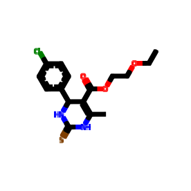 CCOCCOC(=O)C1=C(C)NC(=S)NC1c1ccc(Cl)cc1